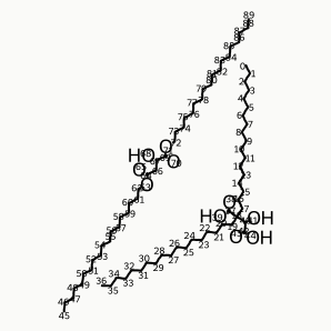 CCCCCCCCCCCCCCCCCCC(CCCCCCCCCCCCCCCCCC)(C(=O)O)C(O)C(=O)O.CCCCCCCCCCCCCCCCCCOC(=O)CC(O)C(=O)OCCCCCCCCCCCCCCCCCC